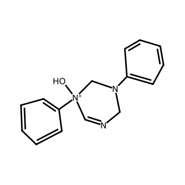 O[N+]1(c2ccccc2)C=NCN(c2ccccc2)C1